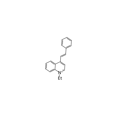 CC[n+]1ccc(C=Cc2ccccc2)c2ccccc21